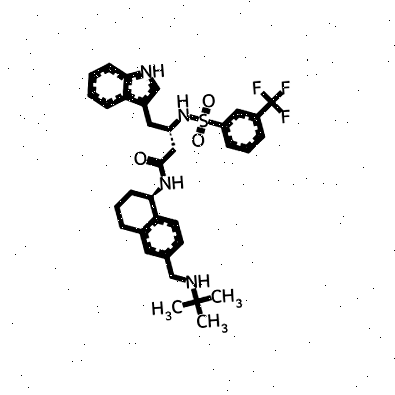 CC(C)(C)NCc1ccc2c(c1)CCC[C@H]2NC(=O)C[C@H](Cc1c[nH]c2ccccc12)NS(=O)(=O)c1cccc(C(F)(F)F)c1